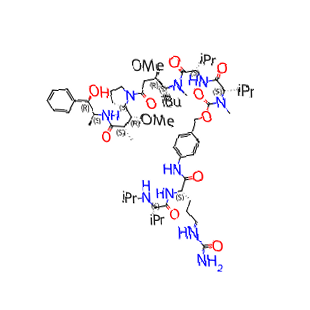 CC[C@H](C)[C@@H]([C@@H](CC(=O)N1CCC[C@H]1[C@H](OC)[C@H](C)C(=O)N[C@@H](C)[C@H](O)c1ccccc1)OC)N(C)C(=O)[C@@H](NC(=O)[C@H](C(C)C)N(C)C(=O)OCc1ccc(NC(=O)[C@H](CCCNC(N)=O)NC(=O)[C@@H](NC(C)C)C(C)C)cc1)C(C)C